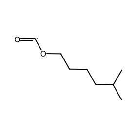 CC(C)CCCCO[C]=O